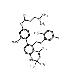 CCN(CCN(C)C)Oc1ccc(-c2ccc3c(c2COc2cc(F)ccc2C)C(C)=CC(C)(C)N3)c(OC)c1